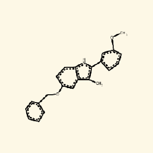 COc1cccc(-c2[nH]c3ccc(OCc4ccccc4)cc3c2C)c1